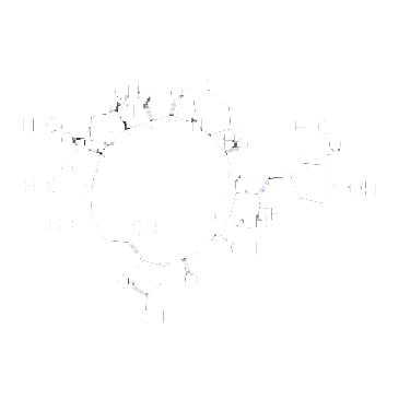 CO[C@H]1C[C@@H](C)C/C(C)=C/[C@@H](CC(C)=O)C(=O)C[C@H](O)[C@@H](C)C(/C(C)=C/[C@@H]2CC[C@@H](O)[C@H](OC)C2)OC(=O)[C@@H]2CCCCN2C(=O)C(=O)[C@]2(O)O[C@H]1[C@@H](OC)C[C@H]2C